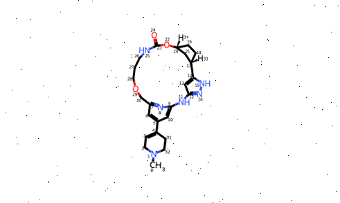 CN1CC=C(c2cc3nc(c2)Nc2cc([nH]n2)[C@H]2CC[C@H](C2)OC(=O)NCCCOC3)CC1